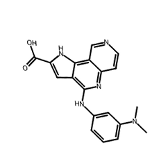 CN(C)c1cccc(Nc2nc3ccncc3c3[nH]c(C(=O)O)cc23)c1